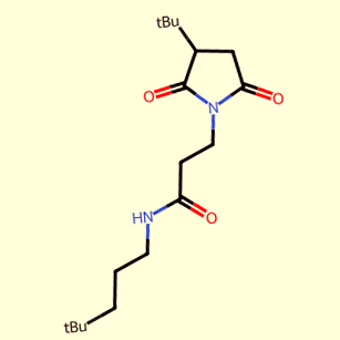 CC(C)(C)CCCNC(=O)CCN1C(=O)CC(C(C)(C)C)C1=O